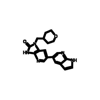 O=c1[nH]c2ncc(-c3cnc4[nH]ccc4c3)cc2n1CC1CCOCC1